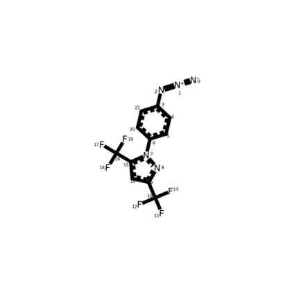 [N-]=[N+]=Nc1ccc(-n2nc(C(F)(F)F)cc2C(F)(F)F)cc1